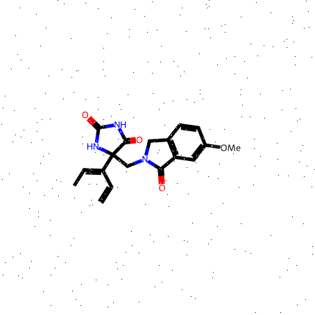 C=C/C(=C\C)C1(CN2Cc3ccc(OC)cc3C2=O)NC(=O)NC1=O